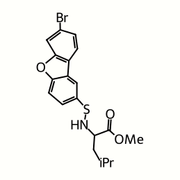 COC(=O)C(CC(C)C)NSc1ccc2oc3cc(Br)ccc3c2c1